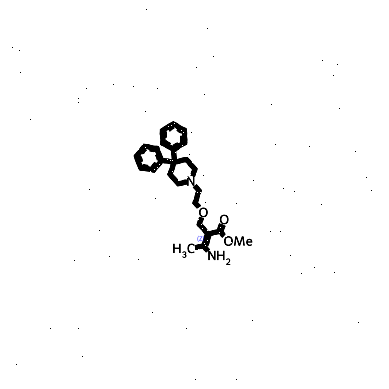 COC(=O)/C(COCCN1CCC(c2ccccc2)(c2ccccc2)CC1)=C(/C)N